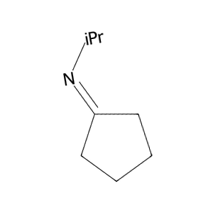 CC(C)N=C1CCCC1